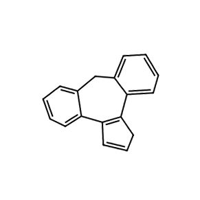 C1=CC2=C(C1)c1ccccc1Cc1ccccc12